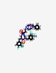 O=C1/C(=C\c2ccc(F)c(F)c2)CN(C(=O)CCN2CCN(Cc3ccccc3)CC2)C/C1=C\c1ccc(F)c(F)c1